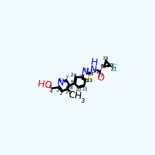 Cc1cc(CO)ncc1-c1ccc2sc(NC(=O)[C@@H]3C[C@@H]3F)nc2c1